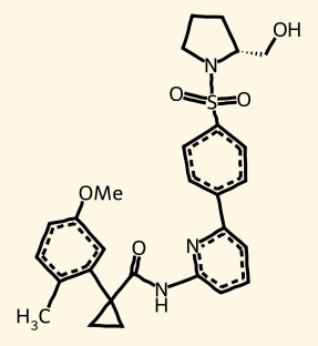 COc1ccc(C)c(C2(C(=O)Nc3cccc(-c4ccc(S(=O)(=O)N5CCC[C@@H]5CO)cc4)n3)CC2)c1